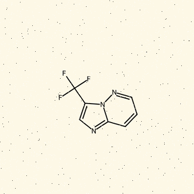 FC(F)(F)c1cnc2cccnn12